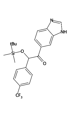 CC(C)(C)[Si](C)(C)OC(C(=O)c1ccc2nc[nH]c2c1)c1ccc(C(F)(F)F)cc1